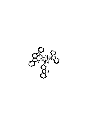 CC1(C)c2ccccc2-c2ccc3c4ccccc4n(-c4nc(-c5ccc6c(c5)oc5ccccc56)nc(-n5c6ccccc6c6ccccc65)n4)c3c21